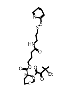 CCC(C)(C)C(=O)C(=O)N1CCCC[C@H]1C(=O)OCCCC(=O)NCCCSSc1ccccn1